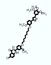 COc1cc(C2NC(=O)c3cc(Cl)ccc3N2)ccc1OCCCCCCCCCOc1cc(-c2cc(-c3cc(OC)c(OC)c(OC)c3)no2)ccc1OC